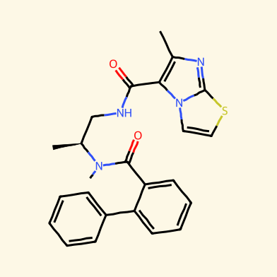 Cc1nc2sccn2c1C(=O)NC[C@H](C)N(C)C(=O)c1ccccc1-c1ccccc1